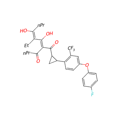 CCCC(=O)/C(C(=O)C1CC1c1ccc(Oc2ccc(F)cc2)cc1C(F)(F)F)=C(O)\C(CC)=C(\O)CCC